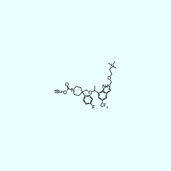 CC(OCC1(c2ccc(F)cc2)CCN(C(=O)OC(C)(C)C)CC1)c1cc(C(F)(F)F)cc2cn(COCC[Si](C)(C)C)nc12